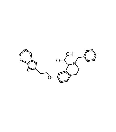 O=C(O)C1c2cc(OCCc3cc4ccccc4o3)ccc2CCN1Cc1ccccc1